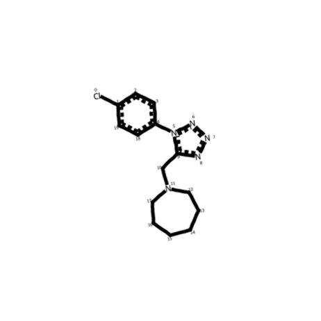 Clc1ccc(-n2nnnc2CN2CCCCCC2)cc1